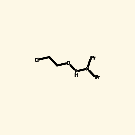 CC(C)N(POCCCl)C(C)C